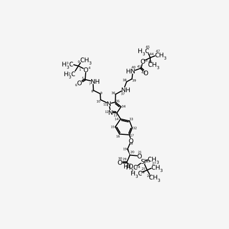 CC(C)(C)OC(=O)NCCCn1nc(-c2ccc(OC[C@@H](O[Si](C)(C)C(C)(C)C)C(=O)O)cc2)cc1CNCCNC(=O)OC(C)(C)C